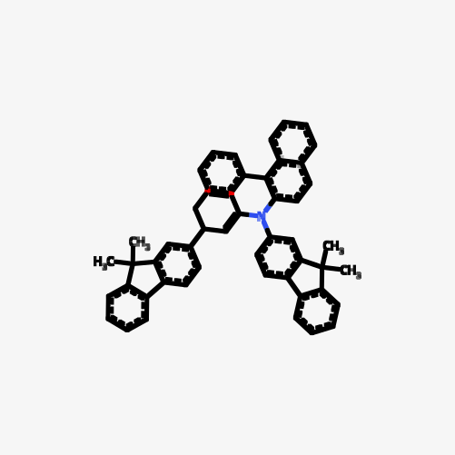 CC1(C)c2ccccc2-c2ccc(C3C=C(N(c4ccc5c(c4)C(C)(C)c4ccccc4-5)c4ccc5ccccc5c4-c4ccccc4)C=CC3)cc21